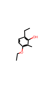 CCOc1ccc(CC)c(O)c1C